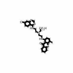 Cc1ccc(NCCN(CCNc2ncnc3cc(Cl)ccc23)CC(=O)O)c2c(=O)c3ccccc3sc12